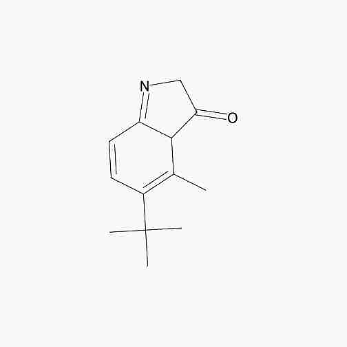 CC1=C(C(C)(C)C)C=CC2=NCC(=O)C21